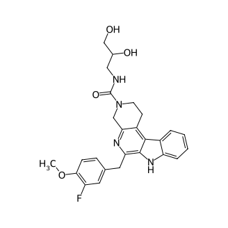 COc1ccc(Cc2nc3c(c4c2[nH]c2ccccc24)CCN(C(=O)NCC(O)CO)C3)cc1F